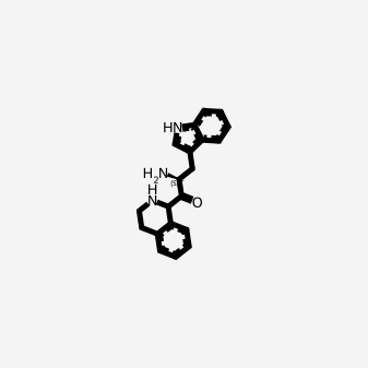 N[C@@H](Cc1c[nH]c2ccccc12)C(=O)C1NCCc2ccccc21